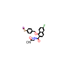 O=NC(=O)CNC(=O)c1ccc2cc(F)ccc2c1OCc1ccc(S#P)cc1